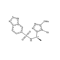 CCn1c(OC)nnc1[C@@H](C)NS(=O)(=O)c1ccc2nsnc2c1